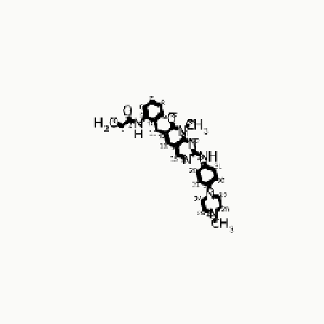 C=CC(=O)Nc1ccccc1Cc1cc2cnc(Nc3ccc(N4CCN(C)CC4)cc3)nc2n(C)c1=O